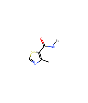 CCNC(=O)c1scnc1C